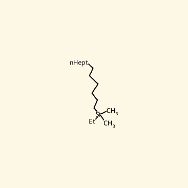 CCCCCCCCCCCCC[Si](C)(C)CC